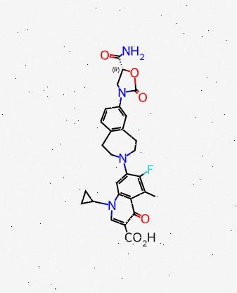 Cc1c(F)c(N2CCc3ccc(N4C[C@H](C(N)=O)OC4=O)cc3CC2)cc2c1c(=O)c(C(=O)O)cn2C1CC1